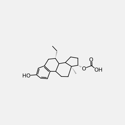 CC[C@H]1Cc2cc(O)ccc2C2CC[C@@]3(C)C(CC[C@@H]3OC(=O)O)C21